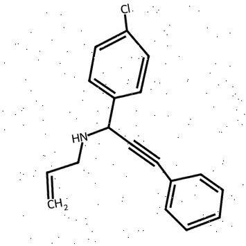 C=CCNC(C#Cc1ccccc1)c1ccc(Cl)cc1